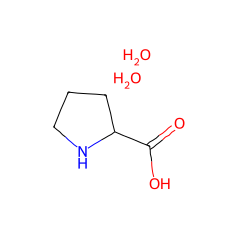 O.O.O=C(O)C1CCCN1